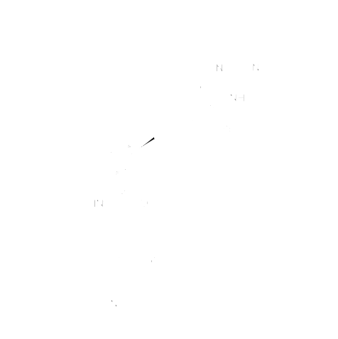 O=C(Nc1ccc2cncc(Cl)c2c1)[C@@H]1C[C@H]1c1ccc(S(=O)(=O)Nc2ncccn2)cc1